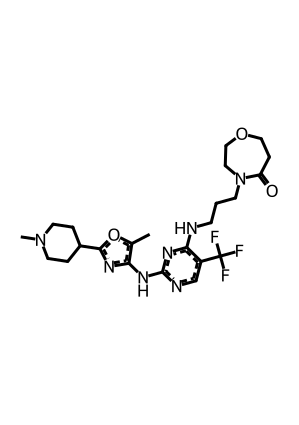 Cc1oc(C2CCN(C)CC2)nc1Nc1ncc(C(F)(F)F)c(NCCCN2CCOCCC2=O)n1